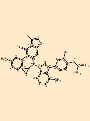 Cc1csc2cc([C@H](C3CC3)n3nc(-c4ccc(OC(P)P)c(F)c4)c4c(N)ncnc43)c(-c3cccc(P)c3)c(=O)n12